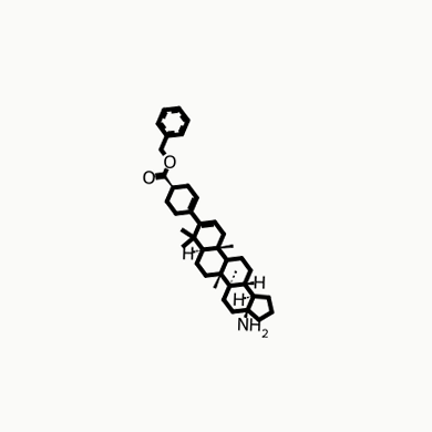 CC1(C)C(C2=CC[C@H](C(=O)OCc3ccccc3)CC2)=CC[C@]2(C)C3CC[C@@H]4[C@H]5CCC[C@]5(N)CC[C@@]4(C)[C@]3(C)CC[C@@H]12